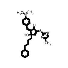 Cc1c[nH]c(SC2=CC(O)(CCCCc3ccccc3)C(=Cc3ccc(N(C)C)cc3)C2=O)n1